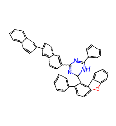 c1ccc(C2=NC(c3ccc4cc(-c5ccc6ccccc6c5)ccc4c3)=NC(c3c(-c4ccccc4)ccc4oc5ccccc5c34)N2)cc1